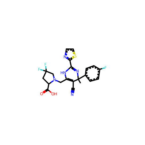 CC1(c2ccc(F)cc2)N=C(c2nccs2)NC(CN2CC(F)(F)CC2C(=O)O)=C1C#N